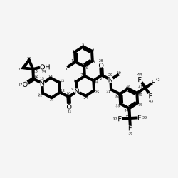 Cc1ccccc1C1CN(C(=O)C2CCN(C(=O)C3(O)CC3)CC2)CCC1C(=O)N(C)Cc1cc(C(F)(F)F)cc(C(F)(F)F)c1